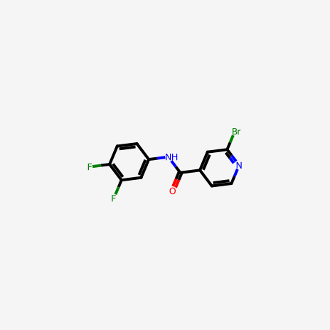 O=C(Nc1ccc(F)c(F)c1)c1ccnc(Br)c1